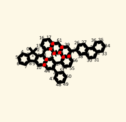 CC1(C)c2ccccc2-c2cccc(-c3ccccc3N(c3ccc(-c4ccc5c(ccc6ccccc65)c4)cc3)c3cccc(-c4ccccc4)c3-c3ccccc3-c3ccccc3)c21